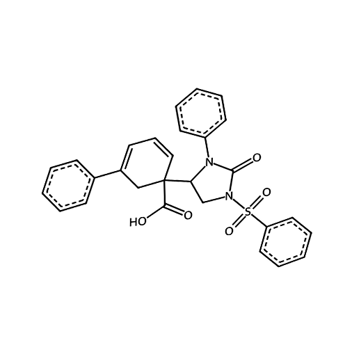 O=C1N(c2ccccc2)C(C2(C(=O)O)C=CC=C(c3ccccc3)C2)CN1S(=O)(=O)c1ccccc1